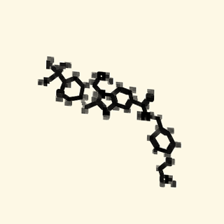 CCSc1ccc(CNC(=O)c2ccc3c(c2)nc(C[C@H]2CCC(C(F)(F)F)OC2)n3CC)cc1